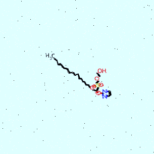 CCCCCCCCCCCCCCCCCCOCC(CS(=O)(=O)CCOCCO)Oc1ncccn1